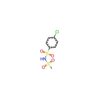 CS(=O)(=O)NS(=O)(=O)c1ccc(Cl)cc1